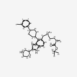 Cc1cccc(N2CCC(c3c(CN(C)CCN(C)C(=O)OC(C)(C)C)ccc4[nH]c(C5CNCCO5)nc34)CC2)c1